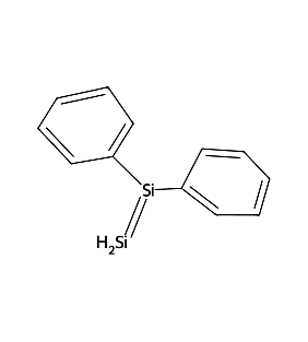 [SiH2]=[Si](c1ccccc1)c1ccccc1